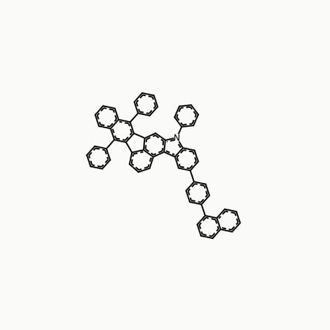 c1ccc(-c2c3c(c(-c4ccccc4)c4ccccc24)-c2cc4c(c5cccc-3c25)c2cc(-c3ccc(-c5cccc6ccccc56)cc3)ccc2n4-c2ccccc2)cc1